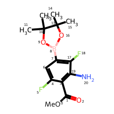 COC(=O)c1c(F)cc(B2OC(C)(C)C(C)(C)O2)c(F)c1N